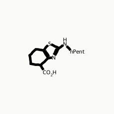 CCCCCNc1nc2c(s1)CCCC2C(=O)O